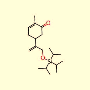 C=C(CO[Si](C(C)C)(C(C)C)C(C)C)C1CC=C(C)C(=O)C1